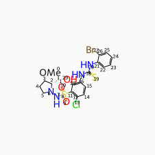 COC[C@H]1CCCN1NS(=O)(=O)c1c(Cl)ccc(NC(=S)Nc2ccccc2Br)c1O